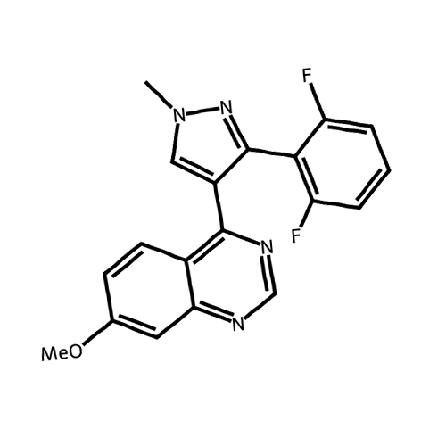 COc1ccc2c(-c3cn(C)nc3-c3c(F)cccc3F)ncnc2c1